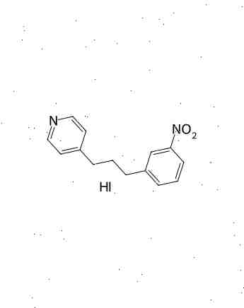 I.O=[N+]([O-])c1cccc(CCCc2ccncc2)c1